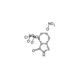 O=[N+]([O-])[O-].O=[N+]([O-])[O-].O=[N+]([O-])[O-].O=c1[nH]sc2ccccc12.[Cr+3]